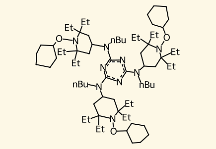 CCCCN(c1nc(N(CCCC)C2CC(CC)(CC)N(OC3CCCCC3)C(CC)(CC)C2)nc(N(CCCC)C2CC(CC)(CC)N(OC3CCCCC3)C(CC)(CC)C2)n1)C1CC(CC)(CC)N(OC2CCCCC2)C(CC)(CC)C1